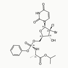 CC(C)OC(=O)[C@H](C)N[P@@](=O)(OC[C@H]1O[C@@H](n2ccc(=O)[nH]c2=O)[C@](Cl)(Br)[C@@H]1O)Oc1ccccc1